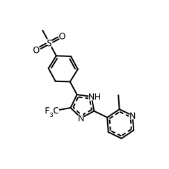 Cc1ncccc1-c1nc(C(F)(F)F)c(C2C=CC(S(C)(=O)=O)=CC2)[nH]1